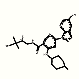 CC(C)(O)[C@H](F)CNC(=O)c1cnc(-n2ncc3cc(C#N)cnc32)cc1NC1CCC(F)CC1